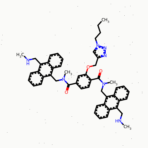 CCCCn1cc(COc2cc(C(=O)N(C)Cc3c4ccccc4c(CNC)c4ccccc34)ccc2C(=O)N(C)Cc2c3ccccc3c(CNC)c3ccccc23)nn1